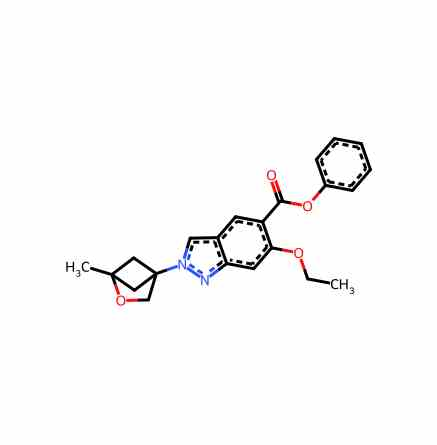 CCOc1cc2nn(C34COC(C)(C3)C4)cc2cc1C(=O)Oc1ccccc1